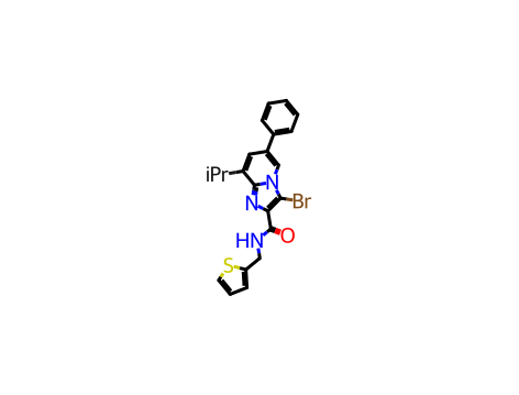 CC(C)c1cc(-c2ccccc2)cn2c(Br)c(C(=O)NCc3cccs3)nc12